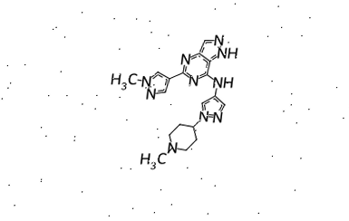 CN1CCC(n2cc(Nc3nc(-c4cnn(C)c4)nc4cn[nH]c34)cn2)CC1